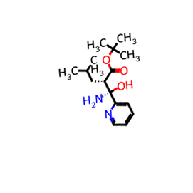 CC(C)C[C@H](C(=O)OC(C)(C)C)[C@@](N)(O)c1ccccn1